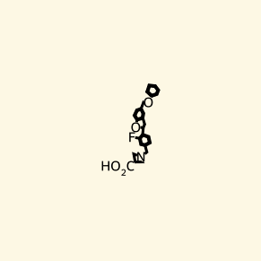 O=C(O)C1CN(Cc2ccc(C3Cc4cc(COc5ccccc5)ccc4O3)c(F)c2)C1